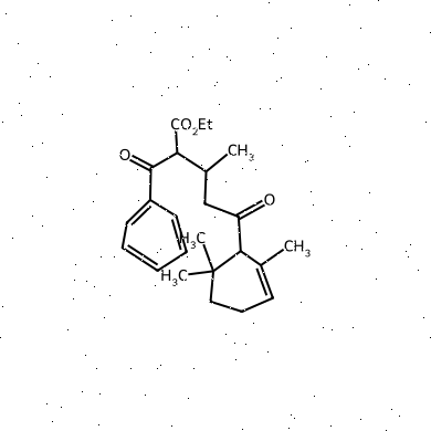 CCOC(=O)C(C(=O)c1ccccc1)C(C)CC(=O)C1C(C)=CCCC1(C)C